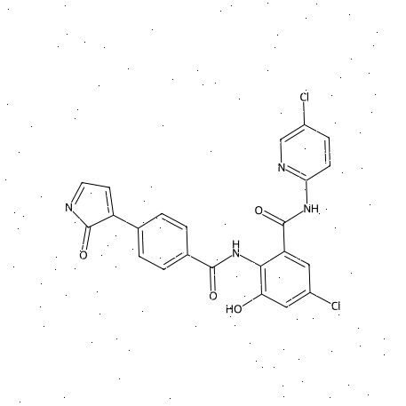 O=C1N=CC=C1c1ccc(C(=O)Nc2c(O)cc(Cl)cc2C(=O)Nc2ccc(Cl)cn2)cc1